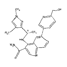 Cc1cn(C)nc1[C@H](C)Nc1c(C(N)=O)cnc2ccc(-c3ccc(CO)nc3)cc12